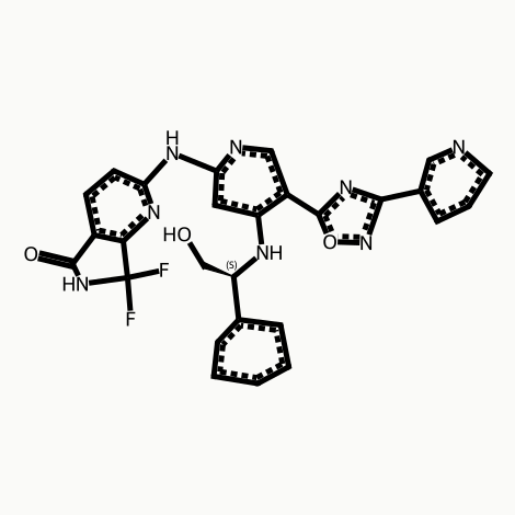 O=C1NC(F)(F)c2nc(Nc3cc(N[C@H](CO)c4ccccc4)c(-c4nc(-c5cccnc5)no4)cn3)ccc21